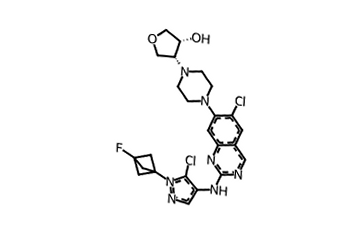 O[C@H]1COC[C@H]1N1CCN(c2cc3nc(Nc4cnn(C56CC(F)(C5)C6)c4Cl)ncc3cc2Cl)CC1